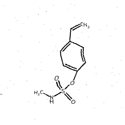 C=Cc1ccc(OS(=O)(=O)NC)cc1